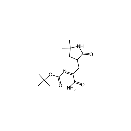 CC1(C)CC(CC(=NC(=O)OC(C)(C)C)C(N)=O)C(=O)N1